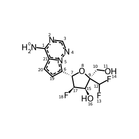 Nc1ncnn2c([C@@H]3O[C@@](CO)(C(F)F)[C@@H](O)[C@H]3F)ccc12